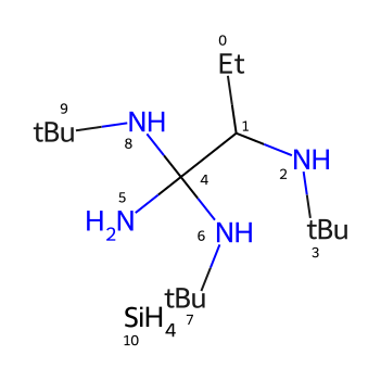 CCC(NC(C)(C)C)C(N)(NC(C)(C)C)NC(C)(C)C.[SiH4]